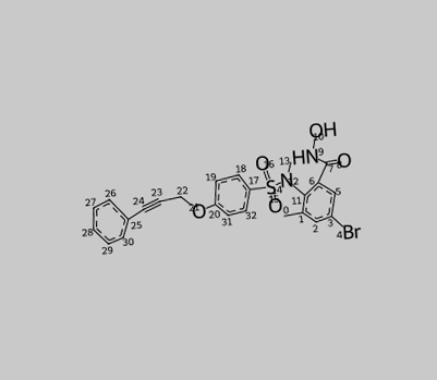 Cc1cc(Br)cc(C(=O)NO)c1N(C)S(=O)(=O)c1ccc(OCC#Cc2ccccc2)cc1